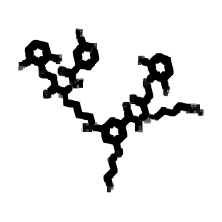 NCCCC[C@H](NC(=O)c1cc(NCCCC[C@H](NC(=O)c2ccnc(F)c2)C(=O)COc2c(F)cccc2F)cc(OCCCF)c1)C(=O)COc1c(F)cccc1F